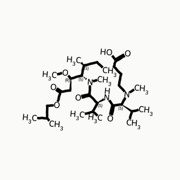 CC[C@H](C)[C@@H]([C@@H](CC(=O)OCC(C)C)OC)N(C)C(=O)[C@@H](NC(=O)[C@H](C(C)C)N(C)CCCC(=O)O)C(C)C